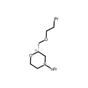 CCCN1CCO[C@H](COCCC(C)C)C1